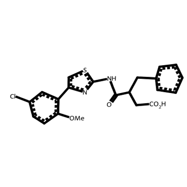 COc1ccc(Cl)cc1-c1csc(NC(=O)C(CC(=O)O)Cc2ccccc2)n1